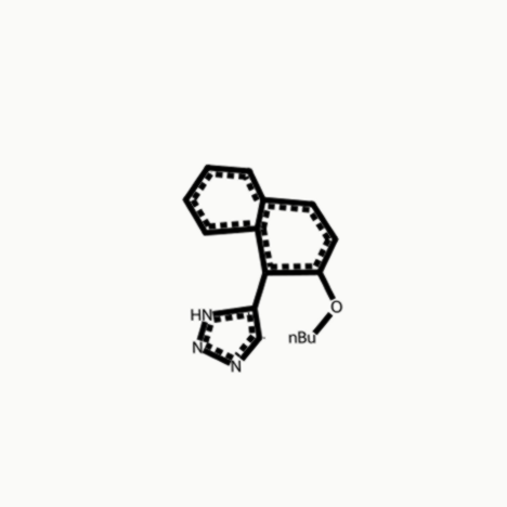 CCCCOc1ccc2ccccc2c1-c1[c]nn[nH]1